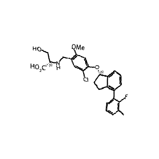 COc1cc(O[C@H]2CCc3c(-c4cccc(C)c4F)cccc32)c(Cl)cc1CN[C@@H](CO)C(=O)O